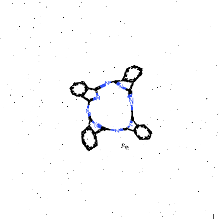 [Fe].c1ccc2c(c1)C1=NC2=NC2=NC(=NC3=NC(=NC4=NC(=N1)c1ccccc14)c1ccccc13)c1ccccc12